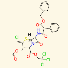 CC(=O)OCC1=C(C(=O)OCC(Cl)(Cl)Cl)N2C(=O)C(NC(=O)C(C(=O)OCc3ccccc3)c3ccccc3)[C@@H]2SC1=CCl